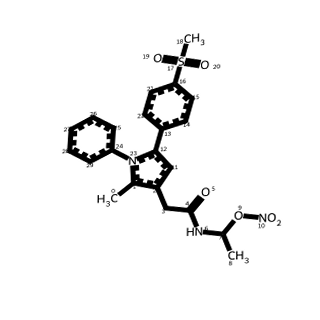 Cc1c(CC(=O)NC(C)O[N+](=O)[O-])cc(-c2ccc(S(C)(=O)=O)cc2)n1-c1ccccc1